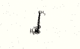 CCCCCCCCC=CCCCCCCCC(=O)NCCCC(C(=O)O)N(C)C